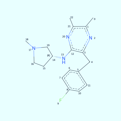 Cc1nc(Cc2ccc(F)cc2)c(N[C@@H]2CCN(C)C2)nc1C